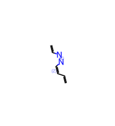 C=C/C=C\N=N/C=C